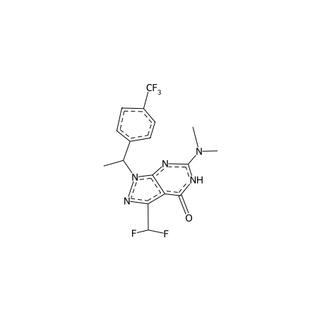 CC(c1ccc(C(F)(F)F)cc1)n1nc(C(F)F)c2c(=O)[nH]c(N(C)C)nc21